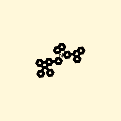 c1ccc(-c2c(-c3ccccc3)c3cc(-c4cccc(N(c5ccc(-c6cc7ccccc7c7ccccc67)cc5)c5cccc6ccccc56)c4)ccc3c3ccccc23)cc1